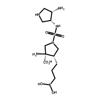 N[C@H]1CNC[C@H]1NS(=O)(=O)N1C[C@H](CCCB(O)O)[C@](N)(C(=O)O)C1